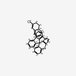 ClC1=CC2=CC=C(c3cccc4c3C3(c5ccccc5S4)c4ccccc4-c4ccccc43)CC2CC1